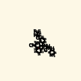 O=C(Nc1cccnc1)NC(Cc1ccccc1)(c1cccc(OC(F)(F)C(F)F)c1)c1ccc(Cl)cn1